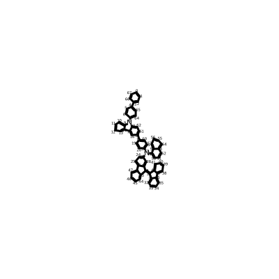 c1ccc(-c2ccc(-n3c4ccccc4c4cc(-c5ccc(N(c6ccc7c(c6)C(=C6c8ccccc8-c8ccccc86)c6ccccc6-7)c6cccc7ccccc67)cc5)ccc43)cc2)cc1